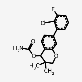 CC1(C)COc2cc(-c3cccc(F)c3Cl)ccc2C1OC(N)=O